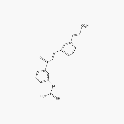 N=C(N)Nc1cccc(C(=O)C=Cc2cccc(C=CC(=O)O)c2)c1